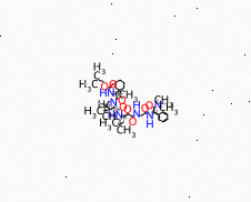 CC(C)COC(=O)N[C@H](C(=O)N1C[C@@H]2C([C@H]1C(=O)N[C@@H](CC(C)C)C(=O)C(=O)NCC(=O)N[C@H](C(=O)N(C)C)c1ccccc1)C2(C)C)C1(C)CCCCC1